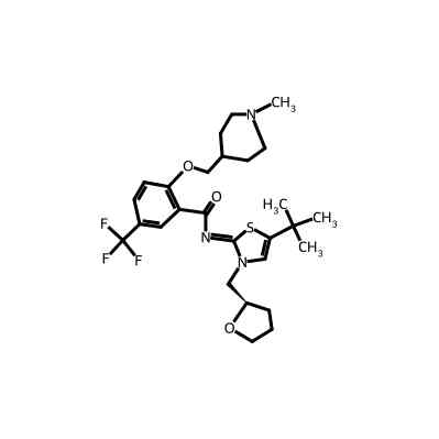 CN1CCC(COc2ccc(C(F)(F)F)cc2C(=O)/N=c2\sc(C(C)(C)C)cn2C[C@H]2CCCO2)CC1